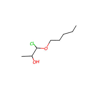 CCCCCOC(Cl)C(C)O